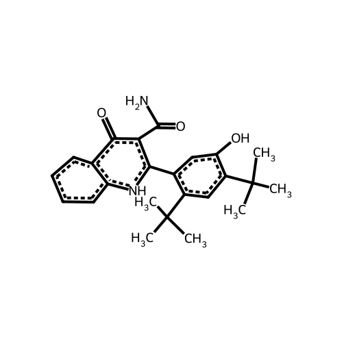 CC(C)(C)c1cc(C(C)(C)C)c(-c2[nH]c3ccccc3c(=O)c2C(N)=O)cc1O